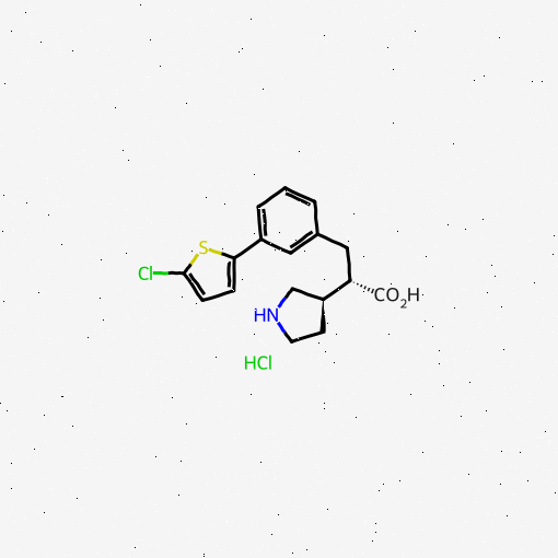 Cl.O=C(O)[C@@H](Cc1cccc(-c2ccc(Cl)s2)c1)[C@H]1CCNC1